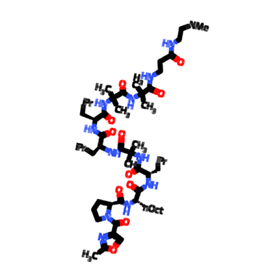 CCCCCCCC[C@H](NC(=O)[C@@H]1CCCN1C(=O)c1coc(C)n1)C(=O)N[C@@H](CC(C)C)C(=O)NC(C)(C)C(=O)N[C@@H](CC(C)C)C(=O)N[C@@H](CC(C)C)C(=O)NC(C)(C)C(=O)NC(C)(C)C(=O)NCCC(=O)NCCNC